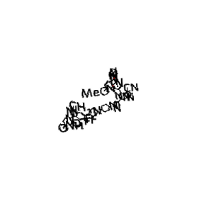 COc1ccc(CN2C3CC2CN(c2ccc(-c4nc(-c5cnn([C@H]6CC[C@@H](N7CCC(c8cc9c(cc8F)c(N8CCC(=O)NC8=O)nn9C)C(F)(F)C7)CC6)c5)cn5ncc(C#N)c45)cn2)C3)cn1